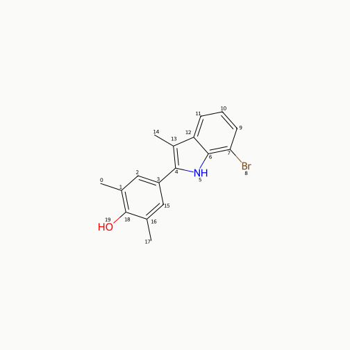 Cc1cc(-c2[nH]c3c(Br)cccc3c2C)cc(C)c1O